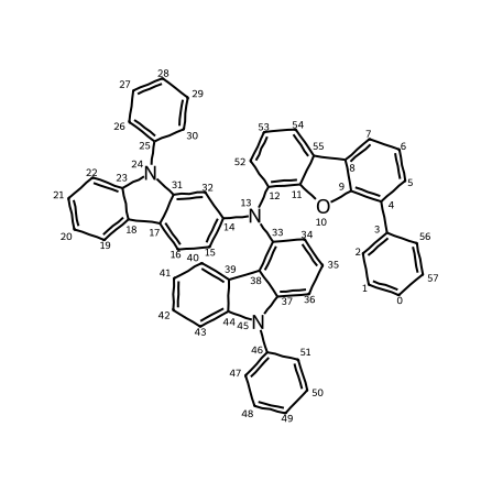 c1ccc(-c2cccc3c2oc2c(N(c4ccc5c6ccccc6n(-c6ccccc6)c5c4)c4cccc5c4c4ccccc4n5-c4ccccc4)cccc23)cc1